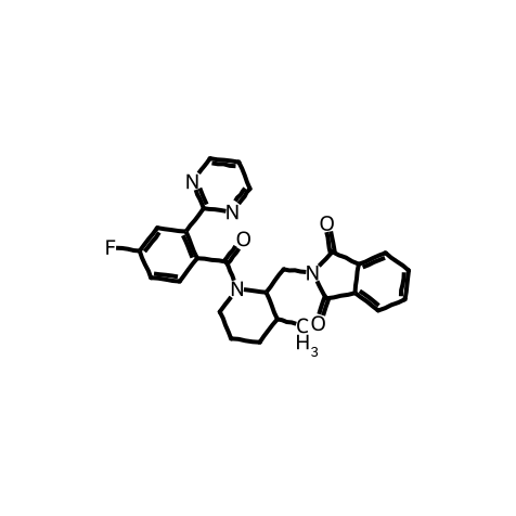 CC1CCCN(C(=O)c2ccc(F)cc2-c2ncccn2)C1CN1C(=O)c2ccccc2C1=O